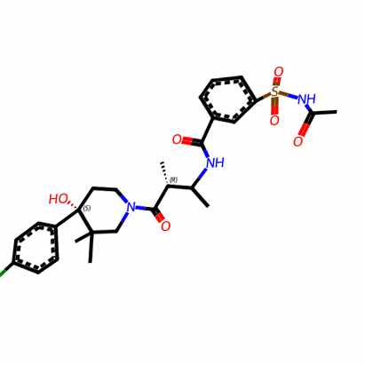 CC(=O)NS(=O)(=O)c1cccc(C(=O)NC(C)[C@@H](C)C(=O)N2CC[C@](O)(c3ccc(Cl)cc3)C(C)(C)C2)c1